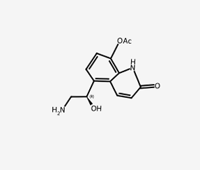 CC(=O)Oc1ccc([C@@H](O)CN)c2ccc(=O)[nH]c12